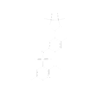 COc1ncc(Cl)cc1S(=O)(=O)Nc1ccc(C)c(B2OC(C)(C)C(C)(C)O2)c1